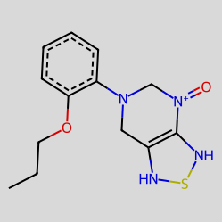 CCCOc1ccccc1N1CC2=C(NSN2)[N+](=O)C1